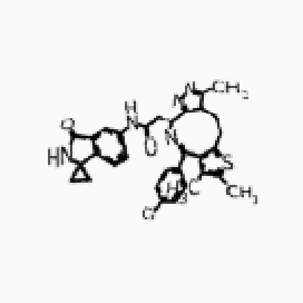 CC1=NN=C2C1CCc1sc(C)c(C)c1/C(c1ccc(Cl)cc1)=N\[C@H]2CC(=O)Nc1ccc2c(c1)C(=O)NC21CC1